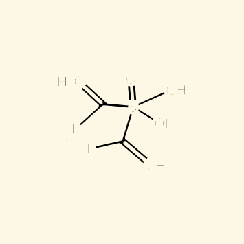 C=C(F)S(=O)(O)(O)C(=C)F